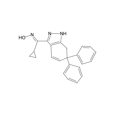 O/N=C(/c1n[nH]c2c1C=CC(c1ccccc1)(c1ccccc1)C2)C1CC1